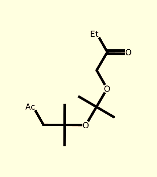 CCC(=O)COC(C)(C)OC(C)(C)CC(C)=O